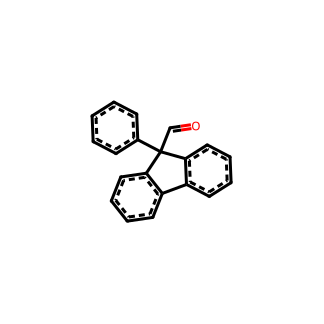 O=CC1(c2ccccc2)c2ccccc2-c2ccccc21